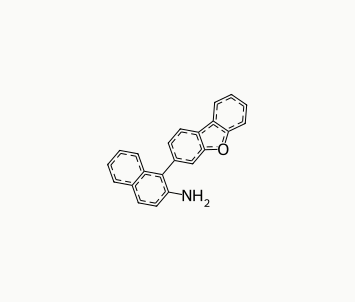 Nc1ccc2ccccc2c1-c1ccc2c(c1)oc1ccccc12